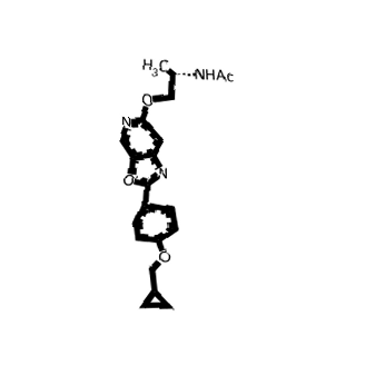 CC(=O)N[C@@H](C)COc1cc2nc(-c3ccc(OCC4CC4)cc3)oc2cn1